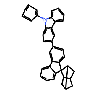 c1ccc(-n2c3ccccc3c3cc(-c4ccc5c(c4)-c4ccccc4C54C5CC6CC5CC64)ccc32)cc1